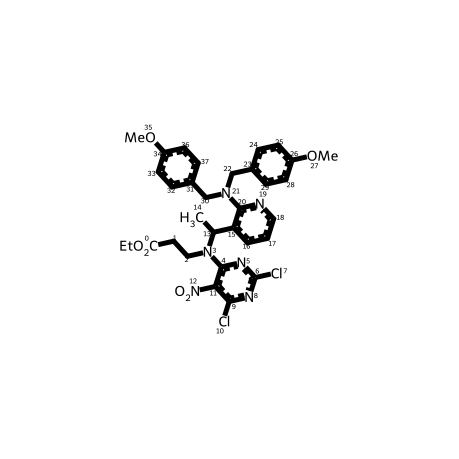 CCOC(=O)CCN(c1nc(Cl)nc(Cl)c1[N+](=O)[O-])C(C)c1cccnc1N(Cc1ccc(OC)cc1)Cc1ccc(OC)cc1